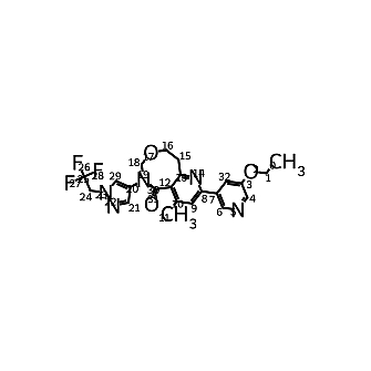 CCOc1cncc(-c2cc(C)c3c(n2)CCOCN(c2cnn(CC(F)(F)F)c2)C3=O)c1